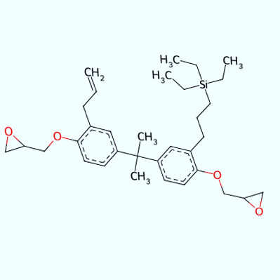 C=CCc1cc(C(C)(C)c2ccc(OCC3CO3)c(CCC[Si](CC)(CC)CC)c2)ccc1OCC1CO1